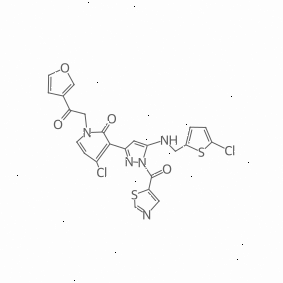 O=C(Cn1ccc(Cl)c(-c2cc(NCc3ccc(Cl)s3)n(C(=O)c3cncs3)n2)c1=O)c1ccoc1